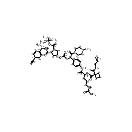 C=CCOC(=O)C1(C(=O)NC(CCCNC(N)=O)C(=O)Nc2ccc(C(OC(=O)O[C@@H]3C[C@@H](C(=O)N[C@@H](C)c4ccc(C#N)cc4)N(C(=O)OC(C)(C)C)C3)C(=O)N3CCN(C)CC3)cc2)CCC1